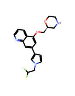 FC(F)Cn1ccc(-c2cc(OC[C@@H]3CNCCO3)c3cccnc3c2)c1